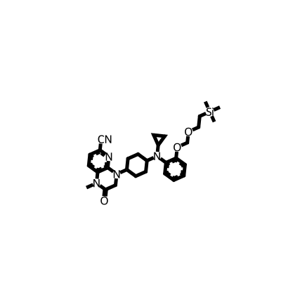 CN1C(=O)CN(C2CCC(N(c3ccccc3OCOCC[Si](C)(C)C)C3CC3)CC2)c2nc(C#N)ccc21